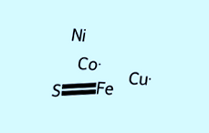 [Co].[Cu].[Ni].[S]=[Fe]